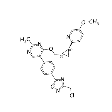 COc1ccc([C@H]2C[C@@H]2COc2nc(C)ncc2-c2ccc(-c3nc(CCl)no3)cc2)nc1